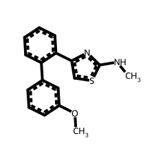 CNc1nc(-c2ccccc2-c2cccc(OC)c2)cs1